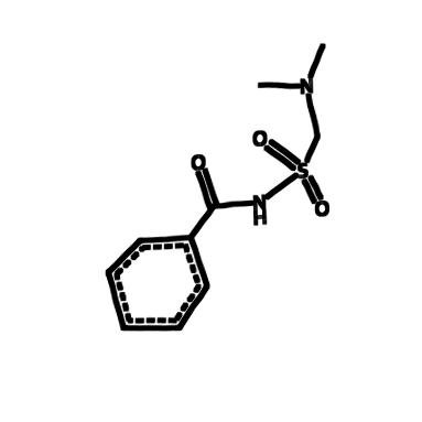 CN(C)CS(=O)(=O)NC(=O)c1ccccc1